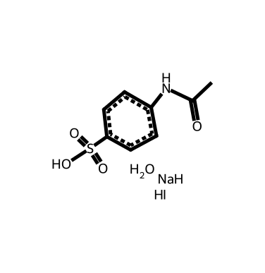 CC(=O)Nc1ccc(S(=O)(=O)O)cc1.I.O.[NaH]